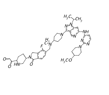 COC1CCN(c2nccc(Nc3cc4c(cn3)c(N3CCC(N(C)Cc5ccc6c(c5F)CN(C5CCC(C(=O)C=O)NC5)C6=O)CC3)nn4C(C)C)n2)CC1